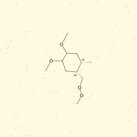 COOC[C@@H]1CC(OC)C(OC)C[C@@H]1C